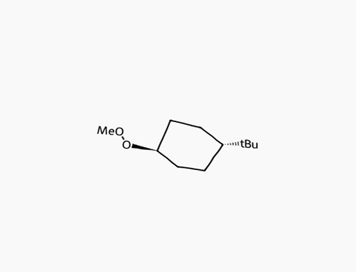 COO[C@H]1CC[C@H](C(C)(C)C)CC1